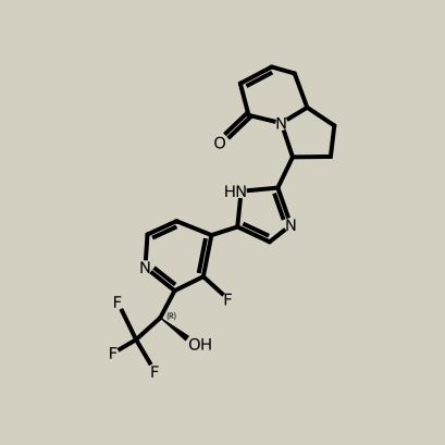 O=C1C=CCC2CCC(c3ncc(-c4ccnc([C@@H](O)C(F)(F)F)c4F)[nH]3)N12